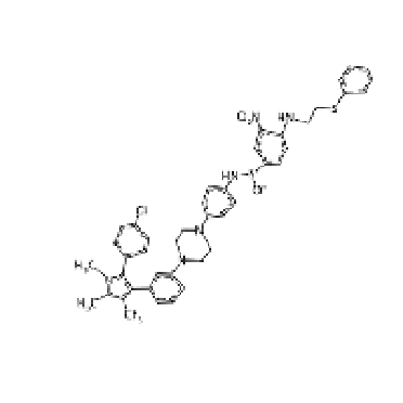 Cc1c(C(F)(F)F)c(-c2cccc(N3CCN(c4ccc(N[S+]([O-])c5ccc(NCCSc6ccccc6)c([N+](=O)[O-])c5)cc4)CC3)c2)c(-c2ccc(Cl)cc2)n1C